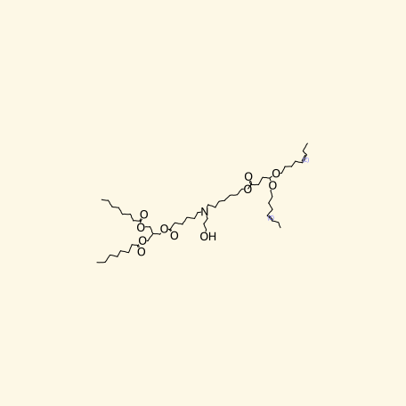 CC/C=C\CCCCOC(CCC(=O)OCCCCCCCN(CCCO)CCCCCC(=O)OCC(COC(=O)CCCCCCC)COC(=O)CCCCCCC)OCCCC/C=C\CC